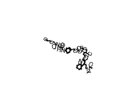 CC(=O)N(CCc1c2c(nc3ccccc13)-c1cc3c(c(=O)n1C2)COC(=O)C3OC(=O)OCc1ccc(NC(=O)CNC(=O)COCC=O)cc1)C(C)C